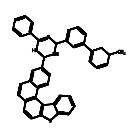 CC1C=CC=C(c2cccc(C3N=C(c4ccccc4)NC(c4ccc5c(ccc6ccc7sc8ccccc8c7c65)c4)N3)c2)C1